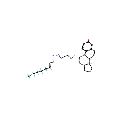 CN(C/C=C(\F)C(F)(F)C(F)(F)C(F)(F)C(F)(F)C(F)(F)F)CCCCC[C@H]1C[C@]2(C)[C@@H](O)CC[C@H]2[C@@H]2CCc3cc(O)ccc3[C@@H]12